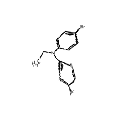 CCN(c1ccc(Br)cc1)c1cnc(F)cn1